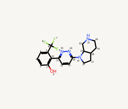 Oc1cccc(C(F)(F)F)c1-c1ccc(N2CCC3CCNCC32)nn1